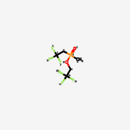 CP(=O)(CC(F)(F)F)OCC(F)(F)F